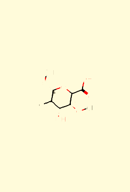 CO[C@@H]1OC(C(=O)O)[C@@H](OC)[C@H](O)C1C